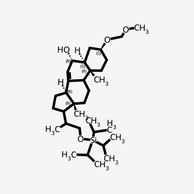 COCO[C@H]1CC[C@]2(C)C3CC[C@]4(C)C(C(C)CO[Si](C(C)C)(C(C)C)C(C)C)CC[C@H]4C3=C[C@H](O)[C@H]2C1